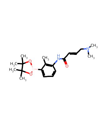 Cc1c(NC(=O)/C=C/CN(C)C)cccc1B1OC(C)(C)C(C)(C)O1